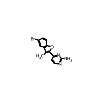 Cc1c(-c2ccnc(N)n2)oc2ccc(Br)cc12